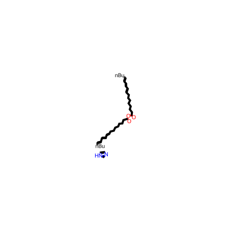 CCCCC=CC=CC=CCCCCCCCC(=O)OC(=O)CCCCCCCC=CC=CC=CCCCC.c1c[nH]cn1